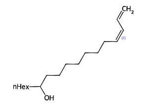 C=C/C=C\CCCCCCCC(O)CCCCCC